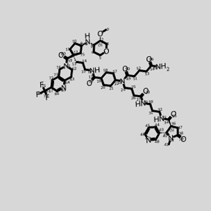 CO[C@@H]1COCC[C@@H]1N[C@@H]1CC[C@](CCCNC(=O)C2CCC(N(CCCC(=O)NCCCNC(=O)[C@H]3CC(=O)N(C)[C@@H]3c3cccnc3)C(=O)CCCC(N)=O)CC2)(C(=O)N2CCc3ncc(C(F)(F)F)cc3C2)C1